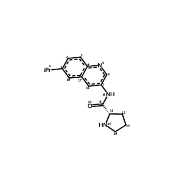 CC(C)c1ccc2ncc(NC(=O)[C@@H]3CCCN3)cc2c1